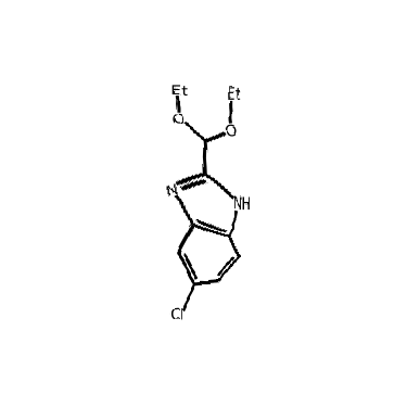 CCOC(OCC)c1nc2cc(Cl)ccc2[nH]1